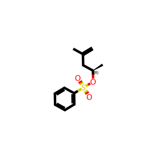 C=C(C)C[C@@H](C)OS(=O)(=O)c1ccccc1